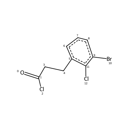 O=C(Cl)CCc1cccc(Br)c1Cl